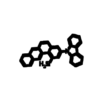 [SiH3]c1cc(-n2c3ccccc3c3ccccc32)cc2ccc3cc4ccccc4cc3c12